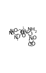 COC(=O)c1cc(C)nc(-c2cnn(C)c2OCCC[C@@H](C)CNc2cc(N3CCC4(CC3=O)OCCO4)ccc2N)c1